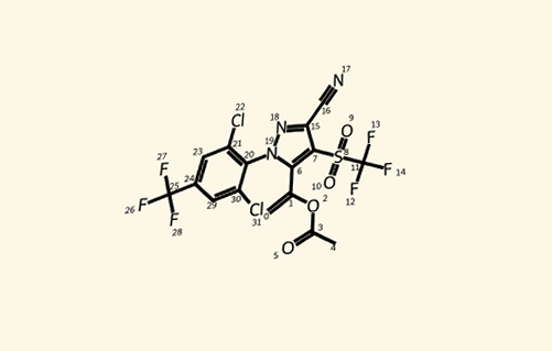 C=C(OC(C)=O)c1c(S(=O)(=O)C(F)(F)F)c(C#N)nn1-c1c(Cl)cc(C(F)(F)F)cc1Cl